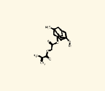 C=C(C)C(=O)OCC(=O)OC12CC3CC(C)(CC(OCC)(C3)C1)C2